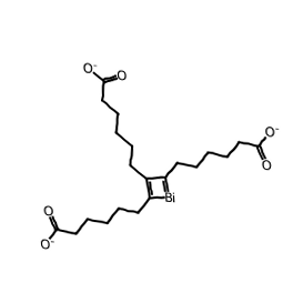 O=C([O-])CCCCC[C]1=[Bi][C](CCCCCC(=O)[O-])=C1CCCCCC(=O)[O-]